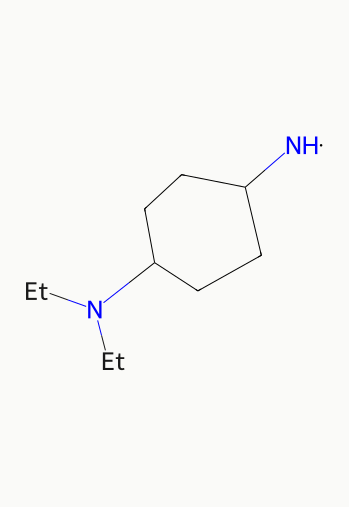 CCN(CC)C1CCC([NH])CC1